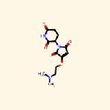 CN(C)CCOC1=CC(=O)N(C2CCC(=O)NC2=O)C1=O